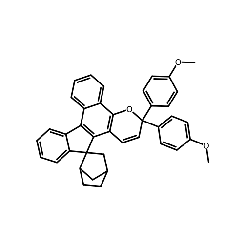 COc1ccc(C2(c3ccc(OC)cc3)C=Cc3c4c(c5ccccc5c3O2)-c2ccccc2C42CC3CCC2C3)cc1